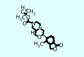 Cc1c([C@@H]2CN3CCN(C(=O)OC(C)(C)C)C[C@@H]3CO2)ccc2c1COC2=O